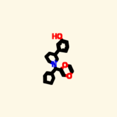 Oc1cccc(C2CCCN(C(C3=CC=CCC3)C3=COC=CO3)C2)c1